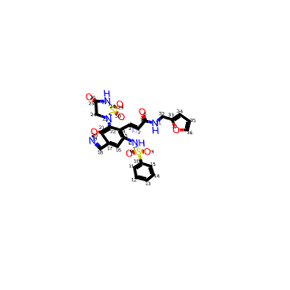 O=C(/C=C/c1c(NS(=O)(=O)c2ccccc2)cc2cnoc2c1N1CC(=O)NS1(=O)=O)NCc1ccco1